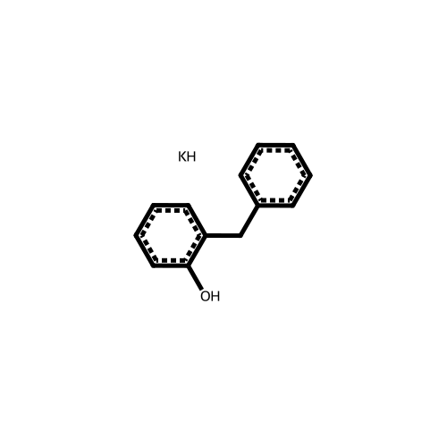 Oc1ccccc1Cc1ccccc1.[KH]